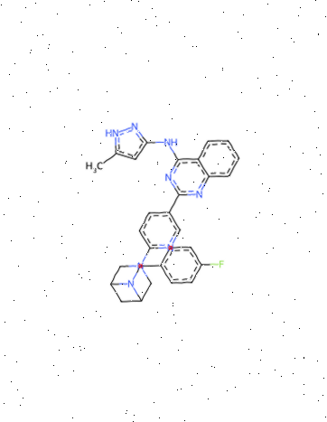 Cc1cc(Nc2nc(-c3ccc(N4CC5CC(C4)N5Cc4ccc(F)cc4)nc3)nc3ccccc23)n[nH]1